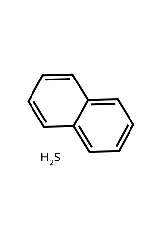 S.c1ccc2ccccc2c1